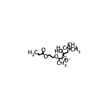 C=CC(=O)OCCOC(C)/[P+]([O-])=C(\O)C[N+](C)(C)C